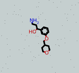 NCCC(O)c1cccc(OCC2CCOCC2)c1